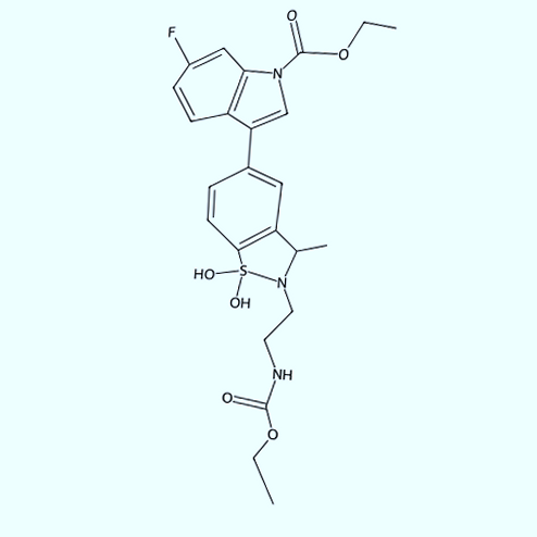 CCOC(=O)NCCN1C(C)c2cc(-c3cn(C(=O)OCC)c4cc(F)ccc34)ccc2S1(O)O